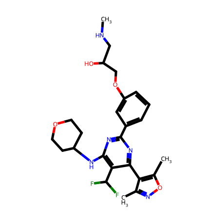 CNCC(O)COc1cccc(-c2nc(NC3CCOCC3)c(C(F)F)c(-c3c(C)noc3C)n2)c1